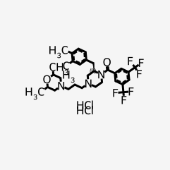 Cc1ccc(C[C@@H]2CN(CCCN3CC(C)OC(C)C3)CCN2C(=O)c2cc(C(F)(F)F)cc(C(F)(F)F)c2)cc1C.Cl.Cl